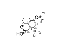 CCc1cc(OC(F)F)cc(C(C)C)c1CC(=O)O